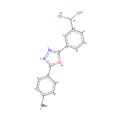 CC(C)(C)c1ccc(-c2nnc(-c3cccc(C(Cl)Cl)c3)o2)cc1